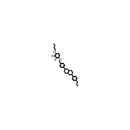 CCCCOc1ccc(OCc2ccc(C3CCC4CC(c5ccc(CCC)cc5)CCC4C3)cc2)c(F)c1F